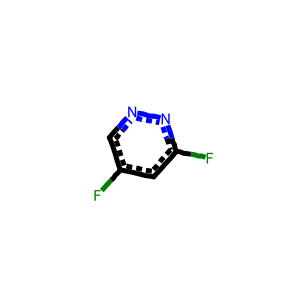 Fc1cnnc(F)c1